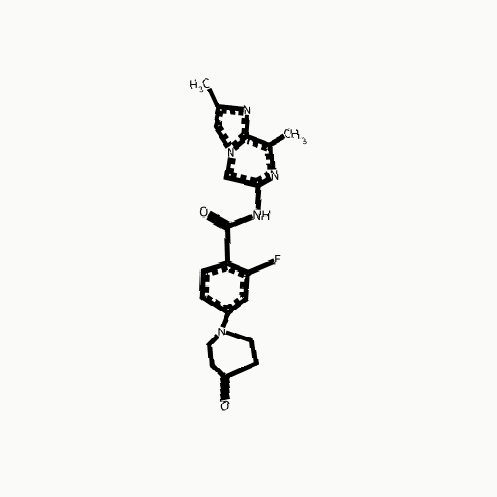 Cc1cn2cc(NC(=O)c3ccc(N4CCC(=O)CC4)cc3F)nc(C)c2n1